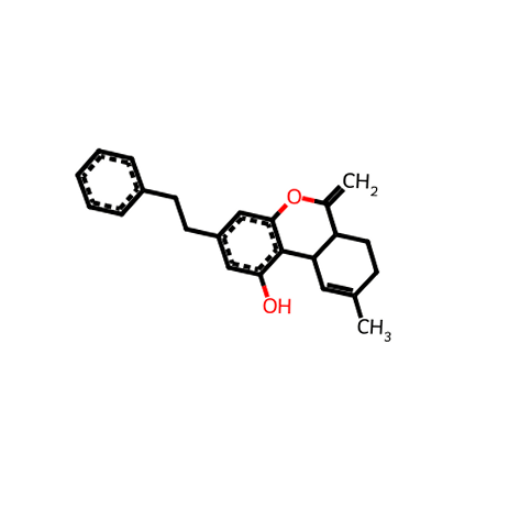 C=C1Oc2cc(CCc3ccccc3)cc(O)c2C2C=C(C)CCC12